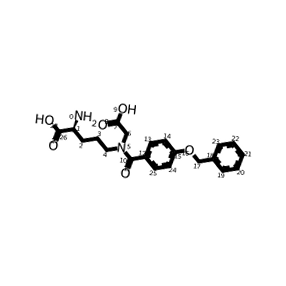 N[C@@H](CCCN(CC(=O)O)C(=O)c1ccc(OCc2ccccc2)cc1)C(=O)O